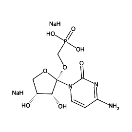 Nc1ccn([C@]2(OCP(=O)(O)O)OC[C@@H](O)[C@H]2O)c(=O)n1.[NaH].[NaH]